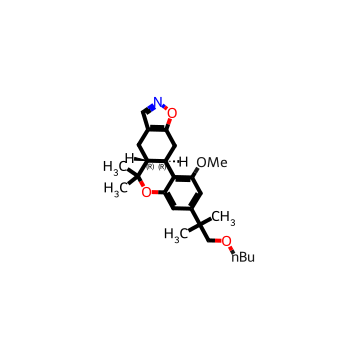 CCCCOCC(C)(C)c1cc(OC)c2c(c1)OC(C)(C)[C@@H]1Cc3cnoc3C[C@@H]21